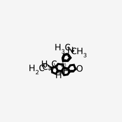 C=C=C[C@@H]1CC[C@H]2[C@@H]3CCC4=CC(=O)CCC4=C3[C@@H](c3ccc(N(C)C)cc3)C[C@]12C